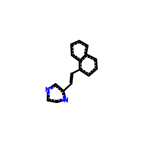 C(=Cc1cccc2ccccc12)c1cnccn1